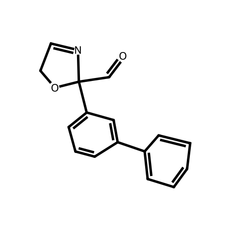 O=CC1(c2cccc(-c3ccccc3)c2)N=CCO1